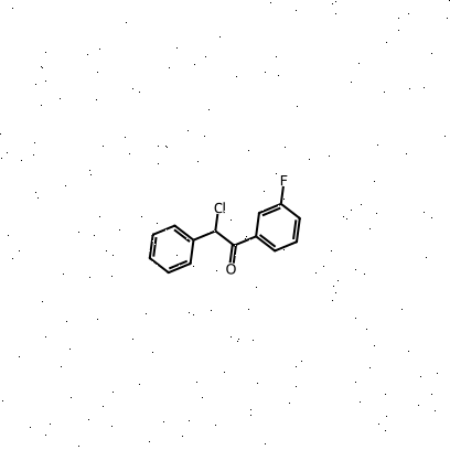 O=C(c1cccc(F)c1)C(Cl)c1ccccc1